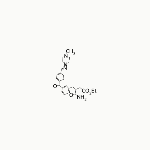 CCOC(=O)CC1Cc2cc(C(=O)c3ccc(C=NN4CCN(C)CC4)cc3)ccc2OC1N